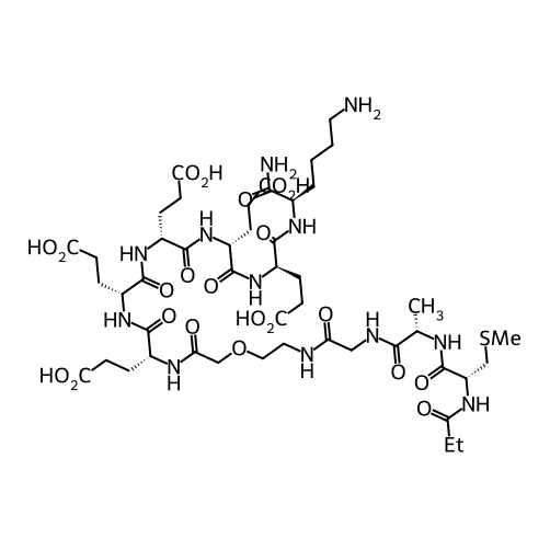 CCC(=O)N[C@@H](CSC)C(=O)N[C@@H](C)C(=O)NCC(=O)NCCOCC(=O)N[C@H](CCC(=O)O)C(=O)N[C@H](CCC(=O)O)C(=O)N[C@H](CCC(=O)O)C(=O)N[C@H](CCC(=O)O)C(=O)N[C@H](CCC(=O)O)C(=O)N[C@H](CCCCN)C(N)=O